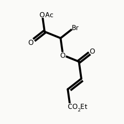 CCOC(=O)/C=C/C(=O)OC(Br)C(=O)OC(C)=O